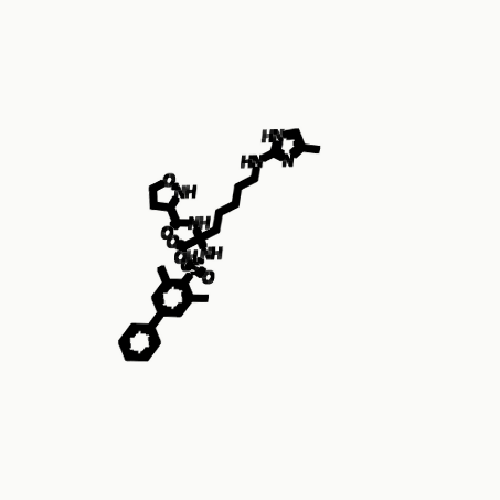 Cc1c[nH]c(NCCCCCC(NC(=O)C2CCON2)(NS(=O)(=O)c2c(C)cc(-c3ccccc3)cc2C)C(=O)O)n1